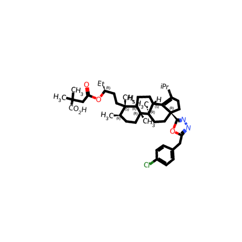 CC[C@H](CC[C@@]1(C)[C@H](C)CC[C@]2(C)[C@@H]1CC[C@@H]1C3=C(C(C)C)CC[C@]3(c3nnc(Cc4ccc(Cl)cc4)o3)CC[C@]12C)OC(=O)CC(C)(C)C(=O)O